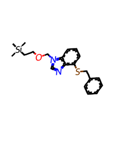 C[Si](C)(C)CCOCn1cnc2c(SCc3ccccc3)cccc21